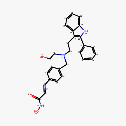 O=C(/C=C/c1ccc(CN(CCO)CCc2c(-c3ccccc3)[nH]c3ccccc23)cc1)NO